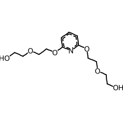 OCCOCCOc1cccc(OCCOCCO)n1